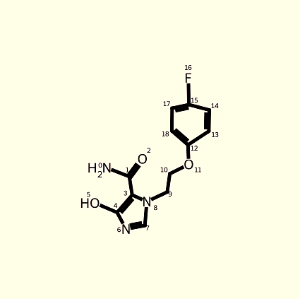 NC(=O)c1c(O)ncn1CCOc1ccc(F)cc1